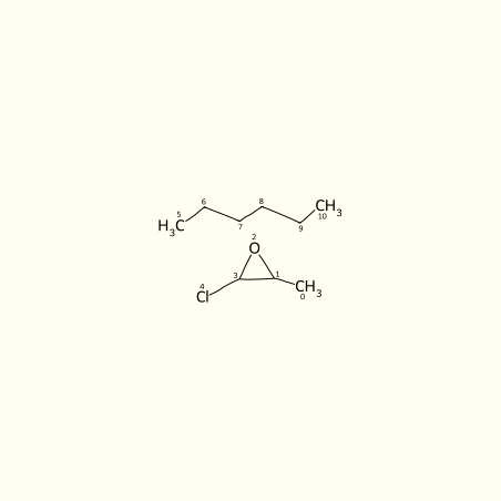 CC1OC1Cl.CCCCCC